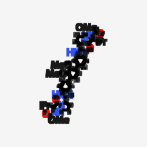 COC(=O)N[C@H](C(=O)N1CCC[C@H]1c1nc2cc(-c3ccc(-c4ccc5nc([C@@H]6CCCN6C(=O)[C@@H](NC(=O)OC)C(C)C)[nH]c5c4)c(OC)c3OC)ccc2[nH]1)C(C)C